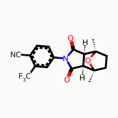 C[C@]12CC[C@](C)(O1)[C@H]1C(=O)N(c3ccc(C#N)c(C(F)(F)F)c3)C(=O)[C@H]12